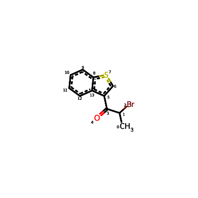 CC(Br)C(=O)c1csc2ccccc12